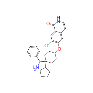 NC(c1ccccc1)C1(C2CCCC2)CCC(Oc2cc3cc[nH]c(=O)c3cc2Cl)CC1